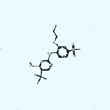 CNc1nc(Nc2ccc(S(C)(=O)=O)cc2OCCF)ncc1C(F)(F)F